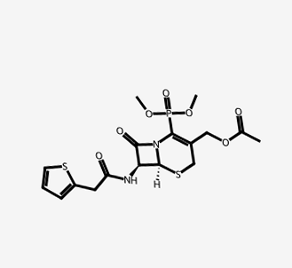 COP(=O)(OC)C1=C(COC(C)=O)CS[C@H]2[C@@H](NC(=O)Cc3cccs3)C(=O)N12